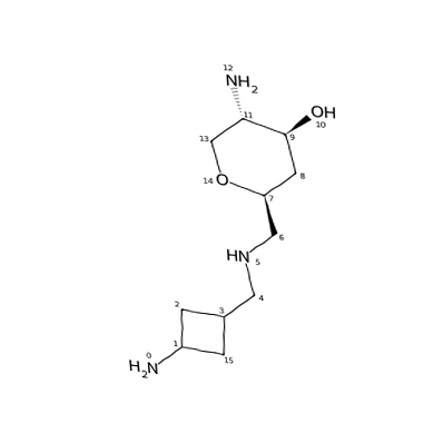 NC1CC(CNC[C@@H]2C[C@H](O)[C@@H](N)CO2)C1